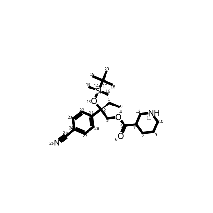 CC[C@](COC(=O)C1CCCNC1)(O[Si](C)(C)C(C)(C)C)c1ccc(C#N)cc1